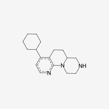 c1cc(C2CCCCC2)c2c(n1)N1CCNCC1CC2